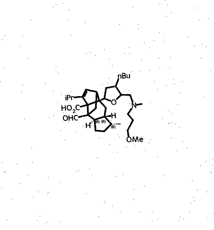 CCCCC1CC(C23C[C@@H]4[C@H](C)CC[C@H]4C4(C=O)CC2C=C(C(C)C)C34C(=O)O)OC1CN(C)CCCOC